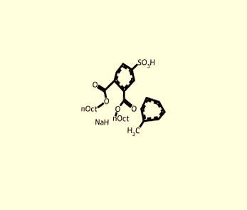 CCCCCCCCOC(=O)c1ccc(S(=O)(=O)O)cc1C(=O)OCCCCCCCC.Cc1ccccc1.[NaH]